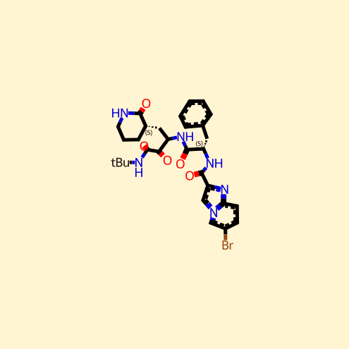 CC(C)(C)NC(=O)C(=O)C(C[C@@H]1CCCNC1=O)NC(=O)[C@H](Cc1ccccc1)NC(=O)c1cn2cc(Br)ccc2n1